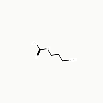 CCCCCCCCNC(=O)CCCC